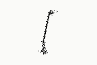 CCCN(OCC)C(=O)C1=Cc2ccc(-c3ccc(CNC(=O)CCOCCOCCOCCOCCOCCOCCOCCOCCOCCOCCC(=O)Oc4c(F)c(F)c(S(=O)(=O)O)c(F)c4F)cc3)cc2N=C(N)C1